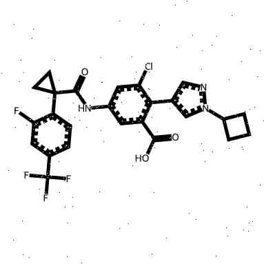 O=C(O)c1cc(NC(=O)C2(c3ccc(C(F)(F)F)cc3F)CC2)cc(Cl)c1-c1cnn(C2CCC2)c1